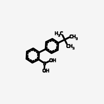 CC(C)(C)c1ccc(-c2ccccc2B(O)O)cc1